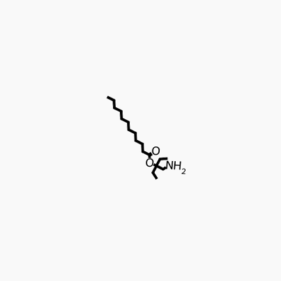 CCCCCCCCCCCC(=O)OC(CC)(CC)CN